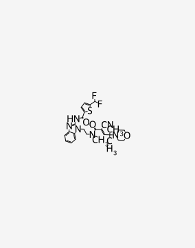 CN(CCn1c(NC(=O)c2ccc(C(F)F)s2)nc2ccccc21)C(=O)C(C#N)=CC(C)(C)N1CCOCC1